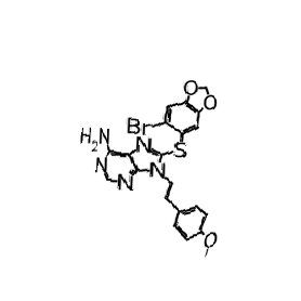 COc1ccc(CCn2c(Sc3cc4c(cc3Br)OCO4)nc3c(N)ncnc32)cc1